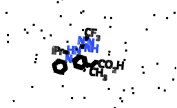 CC(C)CN(c1ccc([C@H](C)CC(=O)O)cc1Nc1nc(C(F)(F)F)n[nH]1)C1CCCCC1